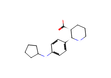 O=C(O)[C@H]1CCCN[C@H]1c1ccc(NC2CCCC2)cc1